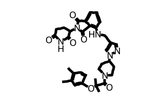 Cc1ccc(OC(C)(C)C(=O)N2CCC(n3cc(CNc4cccc5c4C(=O)N(C4CCC(=O)NC4=O)C5=O)cn3)CC2)cc1C